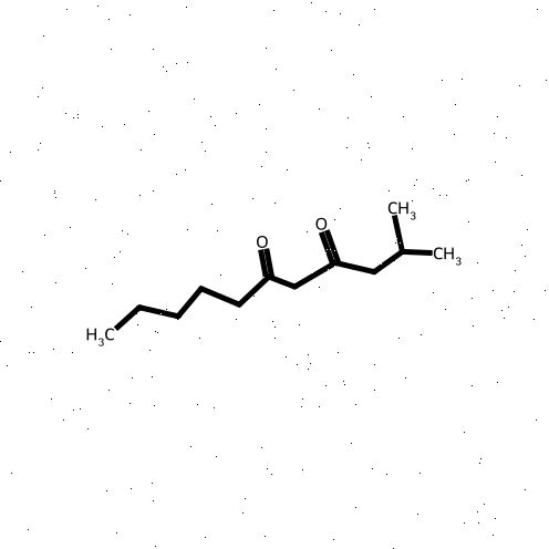 CCCCCC(=O)CC(=O)CC(C)C